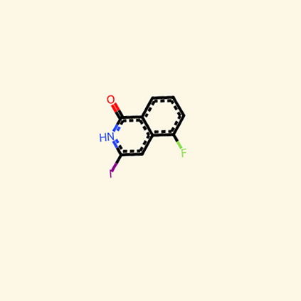 O=c1[nH]c(I)cc2c(F)cccc12